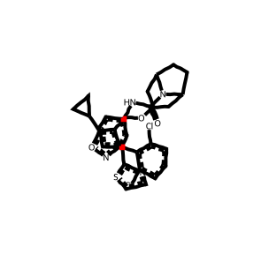 O=C(Nc1cccc(-c2nccs2)c1)N1C2CCC1CC(OCc1c(-c3c(Cl)cccc3Cl)noc1C1CC1)C2